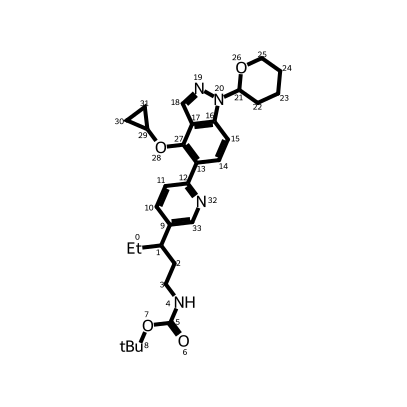 CCC(CCNC(=O)OC(C)(C)C)c1ccc(-c2ccc3c(cnn3C3CCCCO3)c2OC2CC2)nc1